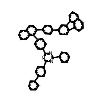 c1ccc(-c2ccc(-c3nc(-c4ccccc4)nc(-c4ccc(-c5c(-c6ccc(-c7ccc8c(c7)-c7cccc9cccc-8c79)cc6)ccc6ccccc56)cc4)n3)cc2)cc1